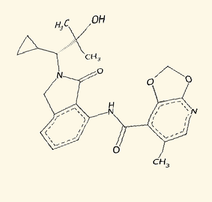 Cc1cnc2c(c1C(=O)Nc1cccc3c1C(=O)N([C@H](C1CC1)C(C)(C)O)C3)OCO2